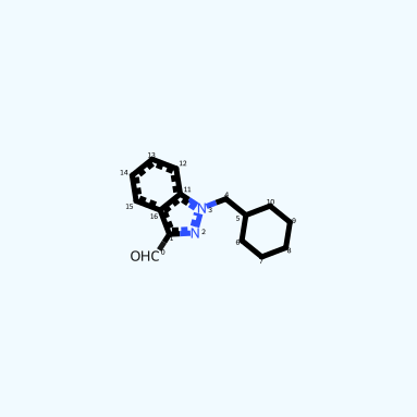 O=Cc1nn(CC2CCCCC2)c2ccccc12